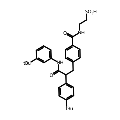 CC(C)(C)c1ccc(C(Cc2ccc(C(=O)NCCS(=O)(=O)O)cc2)C(=O)Nc2cccc(C(C)(C)C)c2)cc1